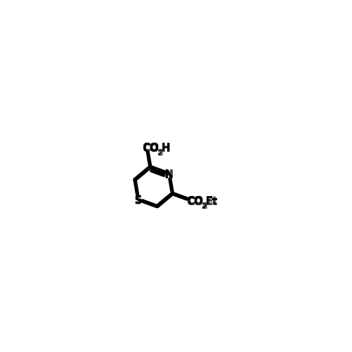 CCOC(=O)C1CSCC(C(=O)O)=N1